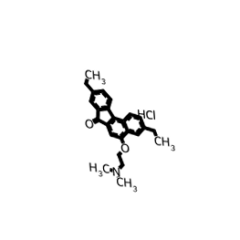 CCc1ccc2c(c1)C(=O)c1cc(OCCN(C)C)c3cc(CC)ccc3c1-2.Cl